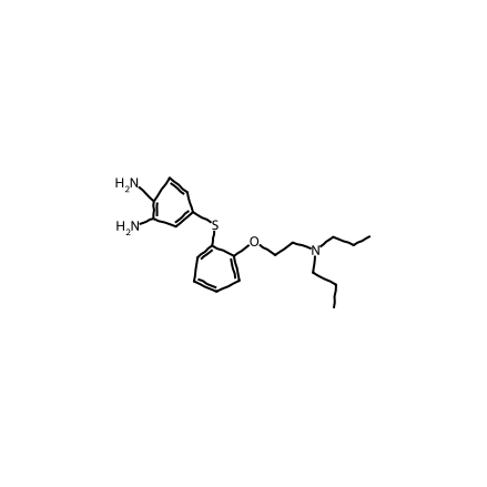 CCCN(CCC)CCOc1ccccc1Sc1ccc(N)c(N)c1